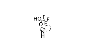 C1CCC2(CC1)CCN2.O=C(O)C(F)(F)F